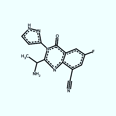 CC(N)c1nc2c(C#N)cc(F)cc2c(=O)n1-c1cc[nH]n1